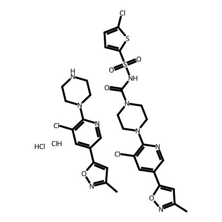 Cc1cc(-c2cnc(N3CCN(C(=O)NS(=O)(=O)c4ccc(Cl)s4)CC3)c(Cl)c2)on1.Cc1cc(-c2cnc(N3CCNCC3)c(Cl)c2)on1.Cl.Cl